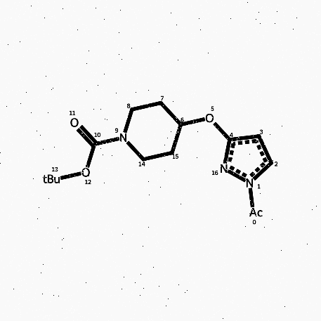 CC(=O)n1ccc(OC2CCN(C(=O)OC(C)(C)C)CC2)n1